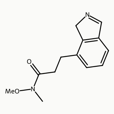 CON(C)C(=O)CCc1cccc2c1CN=C2